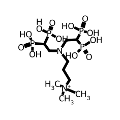 C[N+](C)(C)CCCN(CC(P(=O)(O)O)P(=O)(O)O)CC(P(=O)(O)O)P(=O)(O)O